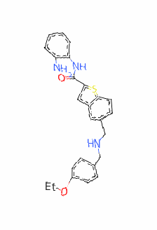 CCOc1ccc(CNCc2ccc3sc(C(=O)Nc4ccccc4N)cc3c2)cc1